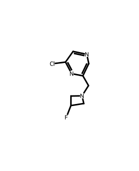 FC1CN(Cc2cncc(Cl)n2)C1